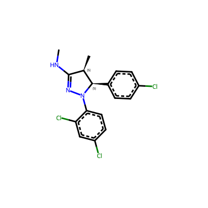 CNC1=NN(c2ccc(Cl)cc2Cl)[C@H](c2ccc(Cl)cc2)[C@@H]1C